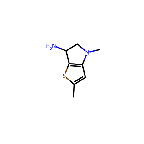 Cc1cc2c(s1)C(N)CN2C